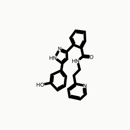 O=C(NCCc1ccccn1)c1ccccc1-c1cc(-c2cccc(O)c2)[nH]n1